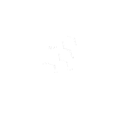 Cc1nc2ccccc2cc1C(=O)O.[NaH]